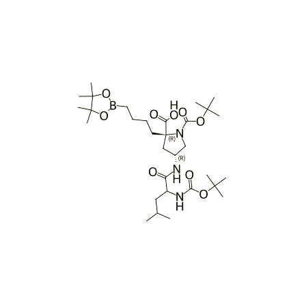 CC(C)CC(NC(=O)OC(C)(C)C)C(=O)N[C@H]1CN(C(=O)OC(C)(C)C)[C@@](CCCCB2OC(C)(C)C(C)(C)O2)(C(=O)O)C1